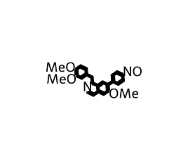 COc1ccc(Cc2nccc3cc(OC)c(-c4ccc(N=O)cc4)cc23)cc1OC